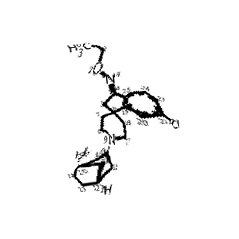 CCO/N=C1\CC2(CCN([C@@H]3C[C@H]4CC[C@@H]3C4)CC2)c2cc(Cl)ccc21